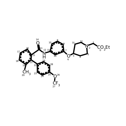 CCOC(=O)CN1CCC(Oc2cccc(NC(=O)c3cccc(C)c3-c3ccc(OC(F)(F)F)cc3)c2)CC1